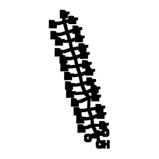 O=S(=O)(O)C(Br)(Br)C(Br)(Br)C(Br)(Br)C(Br)(Br)C(Br)(Br)C(Br)(Br)C(Br)(Br)C(Br)(Br)C(Br)(Br)C(Br)(Br)C(Br)(Br)C(Br)(Br)C(Br)(Br)Br